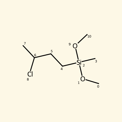 CO[Si](C)(CCC(C)Cl)OC